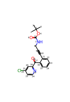 CC(C)(C)OC(=O)NCC#Cc1ccccc1C(=O)c1cc(Cl)ccn1